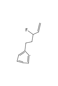 C=CC(F)CCc1[c]cccc1